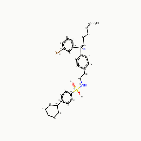 O=C(O)CCC/C=C(/c1ccc(CCNS(=O)(=O)c2ccc(C3CCCCC3)cc2)cc1)c1cccc(Br)c1